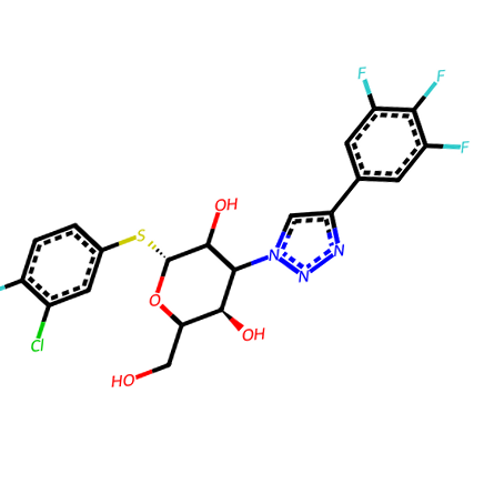 OCC1O[C@H](Sc2ccc(F)c(Cl)c2)C(O)C(n2cc(-c3cc(F)c(F)c(F)c3)nn2)[C@H]1O